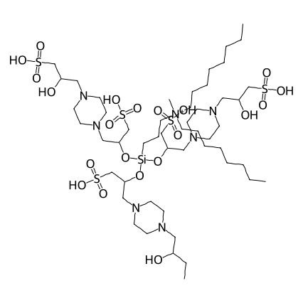 CCCCCCCC[N+](C)(CCCCCCCC)CCC[Si](OC(CN1CCN(CC(O)CC)CC1)CS(=O)(=O)O)(OC(CN1CCN(CC(O)CS(=O)(=O)O)CC1)CS(=O)(=O)O)OC(CN1CCN(CC(O)CS(=O)(=O)O)CC1)CS(=O)(=O)O